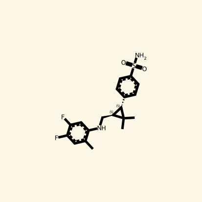 Cc1cc(F)c(F)cc1NC[C@H]1[C@H](c2ccc(S(N)(=O)=O)cc2)C1(C)C